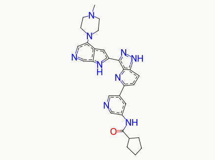 CN1CCN(c2cncc3[nH]c(-c4n[nH]c5ccc(-c6cncc(NC(=O)C7CCCC7)c6)nc45)cc23)CC1